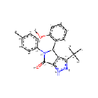 COc1ccccc1C1c2c(C(C)(C)C)n[nH]c2C(=O)N1c1ccc(C)cc1